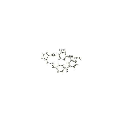 Cc1ccc(Nc2nc(Nc3ccc(OCCN4CCCC4)cc3)ncc2C)cc1.Cl